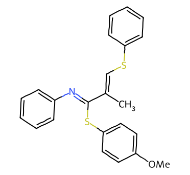 COc1ccc(SC(=N\c2ccccc2)/C(C)=C/Sc2ccccc2)cc1